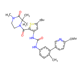 COc1ccc(-c2cc(NC(=O)Nc3cc(C(C)(C)C)sc3C(=O)N3CCN(C)C(=O)C3(C)C)ccc2C)cn1